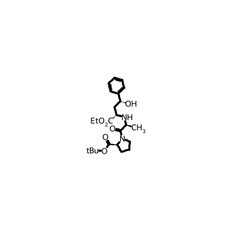 CCOC(=O)[C@H](C[C@@H](O)c1ccccc1)N[C@@H](C)C(=O)N1CCC[C@H]1C(=O)OC(C)(C)C